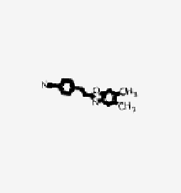 Cc1cc2nc(/C=C/c3ccc(C#N)cc3)oc2cc1C